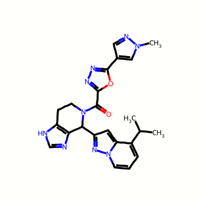 CC(C)c1cccn2nc(C3c4nc[nH]c4CCN3C(=O)c3nnc(-c4cnn(C)c4)o3)cc12